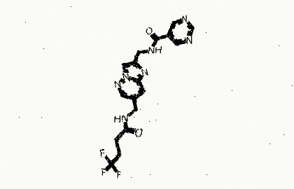 O=C(CCC(F)(F)F)NCc1cnn2cc(CNC(=O)c3cncnc3)nc2c1